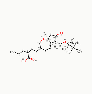 CCCC(CC[C@@H]1CC[C@@H]2[C@@H](CO[Si](C)(C)C(C)(C)C)[C@H](O)C[C@@H]2OC1)C(=O)O